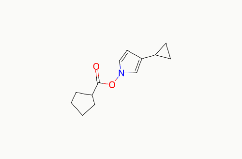 O=C(On1ccc(C2CC2)c1)C1CCCC1